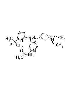 CCN(CC)[C@H]1CCN(c2nn(-c3cncc(C(C)(C)F)n3)c3cc(NC(C)=O)ncc23)C1